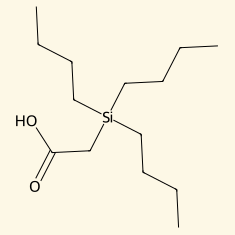 CCCC[Si](CCCC)(CCCC)CC(=O)O